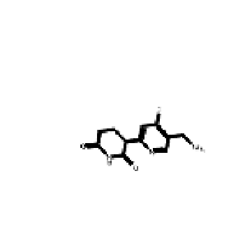 NCc1cnc(C2CCC(=O)NC2=O)cc1F